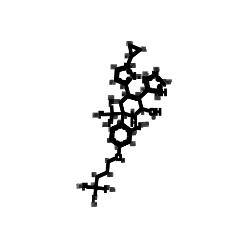 OC1N[C@@](c2ccc(OCCCC(F)(F)F)cc2F)(C(F)(F)F)CC(c2ccn(C3CC3)n2)=C1c1nnn[nH]1